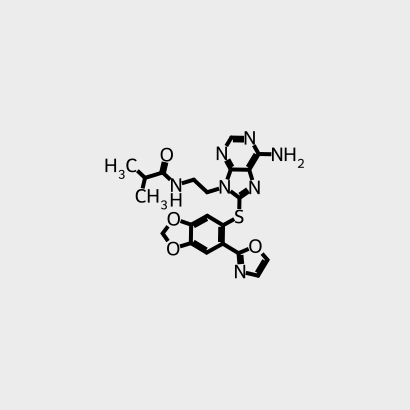 CC(C)C(=O)NCCn1c(Sc2cc3c(cc2-c2ncco2)OCO3)nc2c(N)ncnc21